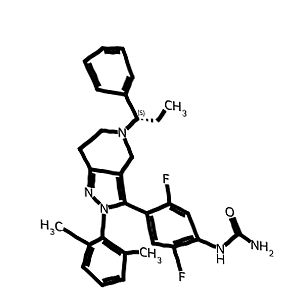 CC[C@@H](c1ccccc1)N1CCc2nn(-c3c(C)cccc3C)c(-c3cc(F)c(NC(N)=O)cc3F)c2C1